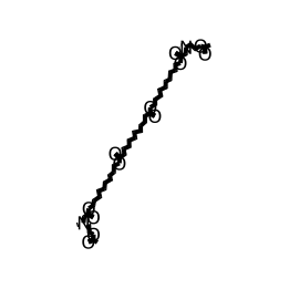 CC(=O)OCCN(C)CC(=O)OCCCCCCCCCCOC(=O)CCCCCCCCCCC(=O)OCCCCCCCCCCOC(=O)CN(C)CCOC(C)=O